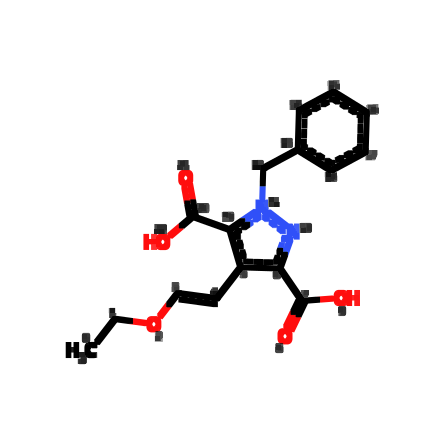 CCOC=Cc1c(C(=O)O)nn(Cc2ccccc2)c1C(=O)O